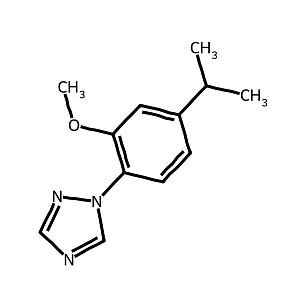 COc1cc(C(C)C)ccc1-n1cncn1